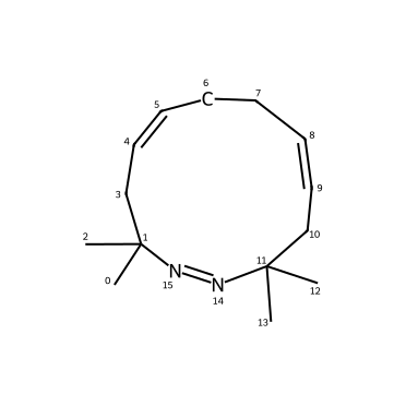 CC1(C)CC=CCCC=CCC(C)(C)N=N1